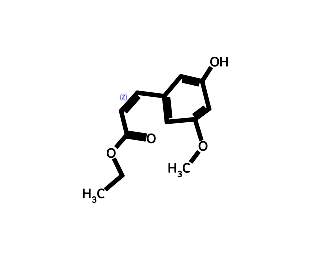 CCOC(=O)/C=C\c1cc(O)cc(OC)c1